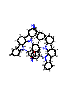 N#Cc1cccc(-c2c(-n3c4ccccc4c4ccc5c6ccccc6n(-c6ccccc6)c5c43)cc(C#N)cc2-n2c3ccccc3c3ccc4c5ccccc5n(-c5ccccc5)c4c32)c1